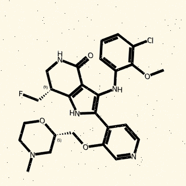 COc1c(Cl)cccc1Nc1c(-c2ccncc2OC[C@@H]2CN(C)CCO2)[nH]c2c1C(=O)NC[C@H]2CF